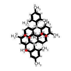 Cc1cc(C)c(B(c2ccccc2-c2ccccc2B(c2c(C)cc(C)cc2C)c2c(C)cc(C)cc2C)c2c(C)cc(C)cc2C)c(C)c1